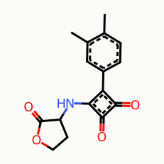 Cc1ccc(-c2c(NC3CCOC3=O)c(=O)c2=O)cc1C